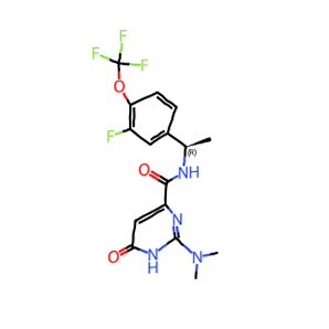 C[C@@H](NC(=O)c1cc(=O)[nH]c(N(C)C)n1)c1ccc(OC(F)(F)F)c(F)c1